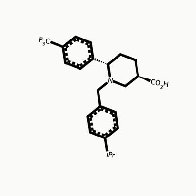 CC(C)c1ccc(CN2C[C@H](C(=O)O)CC[C@H]2c2ccc(C(F)(F)F)cc2)cc1